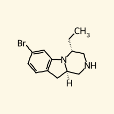 CC[C@@H]1CNC[C@H]2Cc3ccc(Br)cc3N12